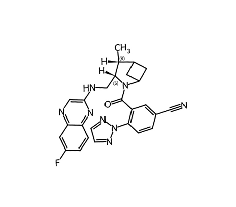 C[C@@H]1C2CC(C2)N(C(=O)c2cc(C#N)ccc2-n2nccn2)[C@@H]1CNc1cnc2cc(F)ccc2n1